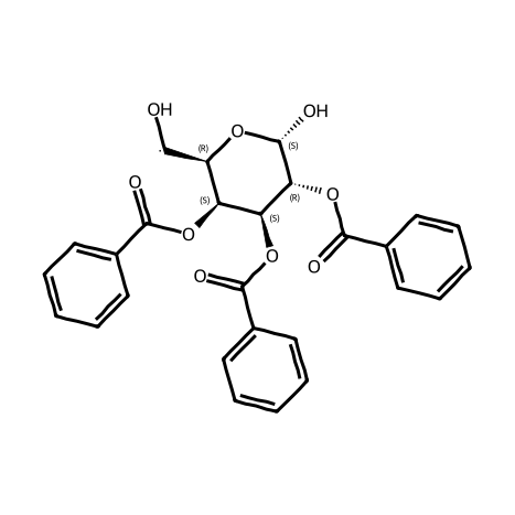 O=C(O[C@@H]1[C@@H](OC(=O)c2ccccc2)[C@@H](O)O[C@H]([CH]O)[C@@H]1OC(=O)c1ccccc1)c1ccccc1